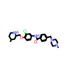 CC1CCNC(COc2ccc(NC(=O)c3ccc(CN4CCN(C)CC4)cc3)cc2Cl)C1